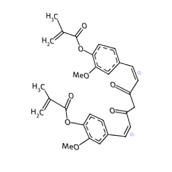 C=C(C)C(=O)Oc1ccc(/C=C\C(=O)CC(=O)/C=C\c2ccc(OC(=O)C(=C)C)c(OC)c2)cc1OC